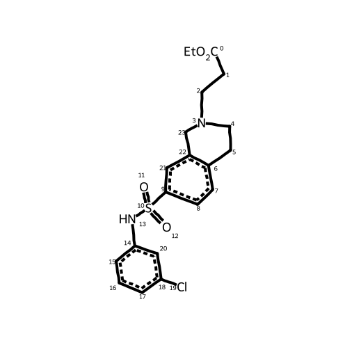 CCOC(=O)CCN1CCc2ccc(S(=O)(=O)Nc3cccc(Cl)c3)cc2C1